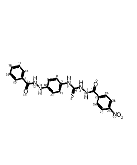 O=C(NNC(=S)Nc1ccc(NNC(=O)c2ccccc2)cc1)c1ccc([N+](=O)[O-])cc1